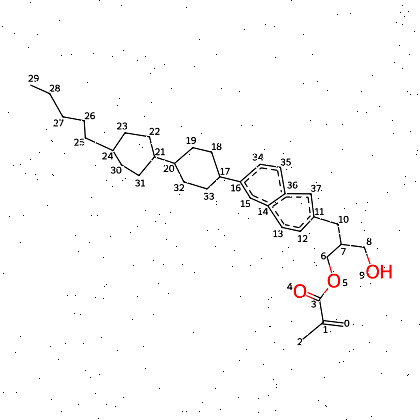 C=C(C)C(=O)OCC(CO)Cc1ccc2cc(C3CCC(C4CCC(CCCCC)CC4)CC3)ccc2c1